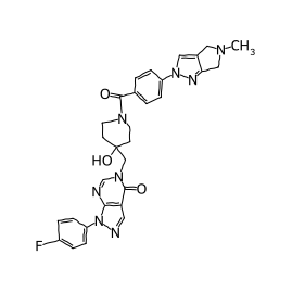 CN1Cc2cn(-c3ccc(C(=O)N4CCC(O)(Cn5cnc6c(cnn6-c6ccc(F)cc6)c5=O)CC4)cc3)nc2C1